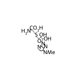 CNc1ccnc2c1ncn2C1OC(CSCCC(N)C(=O)O)C(O)C1O